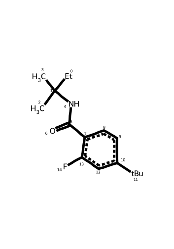 CCC(C)(C)NC(=O)c1ccc(C(C)(C)C)cc1F